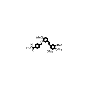 COc1ccc(C=Cc2cc(OC)c(OC)c(OC)c2)cc1OCc1ccc(C(=O)NO)cc1